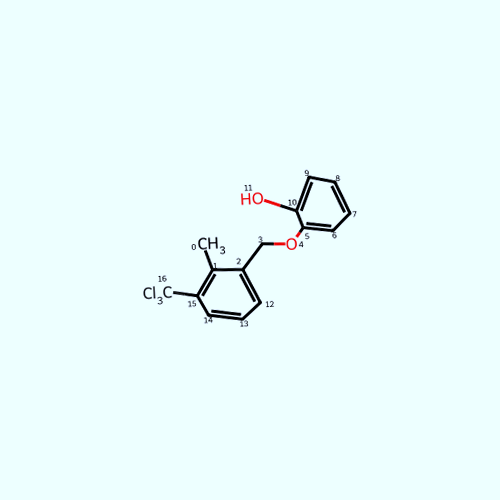 Cc1c(COc2ccccc2O)cccc1C(Cl)(Cl)Cl